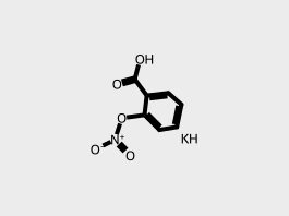 O=C(O)c1ccccc1O[N+](=O)[O-].[KH]